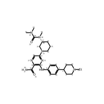 CCN1CCC(c2ccc(Nc3nc(N4CCC[C@@H](N(C)C(=O)N(C)C)C4)cnc3C(N)=O)cc2)CC1